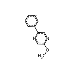 COc1cnc(-c2c[c]ccc2)cn1